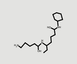 CCC(CCCC(O)NC1CCCCC1)NC(O)CCCCN